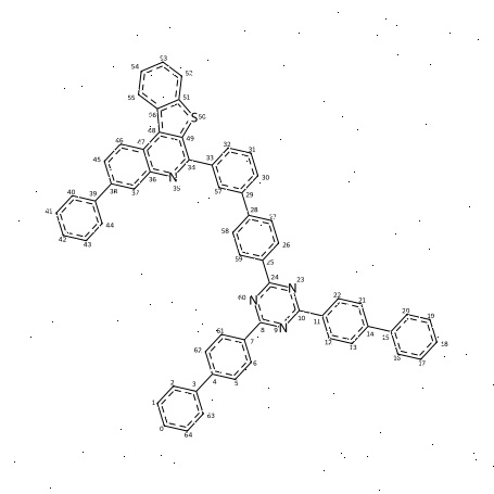 c1ccc(-c2ccc(-c3nc(-c4ccc(-c5ccccc5)cc4)nc(-c4ccc(-c5cccc(-c6nc7cc(-c8ccccc8)ccc7c7c6sc6ccccc67)c5)cc4)n3)cc2)cc1